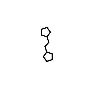 C1CCC(CCC2CCCC2)C1